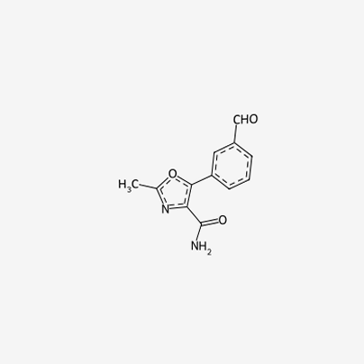 Cc1nc(C(N)=O)c(-c2cccc(C=O)c2)o1